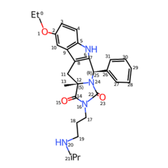 CCOc1ccc2[nH]c3c(c2c1)C[C@@]1(C)C(=O)N(CCCNC(C)C)C(=O)N1[C@@H]3c1ccccc1